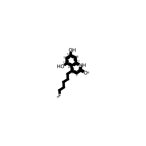 O=c1cc(CCCCCF)c2c(O)cc(O)cc2[nH]1